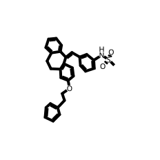 CS(=O)(=O)Nc1cccc(C=C2c3ccccc3CCc3cc(OCCc4ccccc4)ccc32)c1